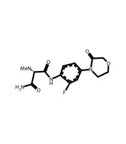 CN[C@@H](C(N)=O)C(=O)Nc1ccc(N2CCOCC2=O)cc1F